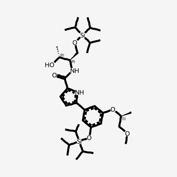 COC[C@H](C)Oc1cc(O[Si](C(C)C)(C(C)C)C(C)C)cc(-c2ccc(C(=O)N[C@H](CO[Si](C(C)C)(C(C)C)C(C)C)[C@@H](C)O)[nH]2)c1